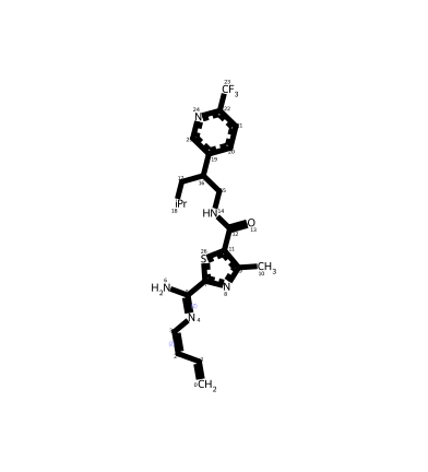 C=C/C=C\N=C(/N)c1nc(C)c(C(=O)NCC(CC(C)C)c2ccc(C(F)(F)F)nc2)s1